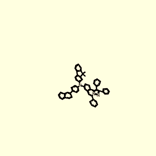 CC1(C)c2ccccc2-c2ccc(N(c3ccc(-c4ccc5ccccc5c4)cc3)c3ccc4c(c3)cc(-c3ccccc3)n3nc(-c5ccccc5)c(-c5ccccc5)c43)cc21